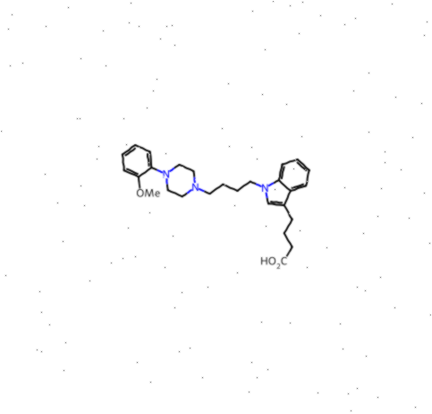 COc1ccccc1N1CCN(CCCCn2cc(CCCC(=O)O)c3ccccc32)CC1